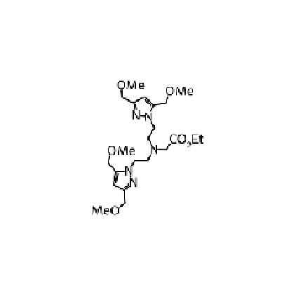 CCOC(=O)CN(CCn1nc(COC)cc1COC)CCn1nc(COC)cc1COC